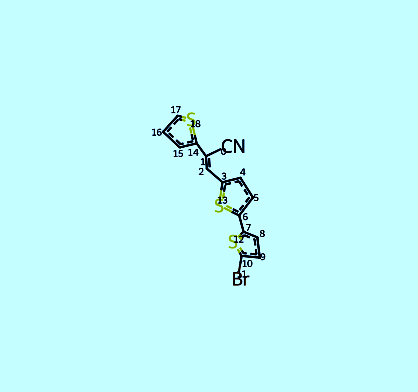 N#C/C(=C\c1ccc(-c2ccc(Br)s2)s1)c1cccs1